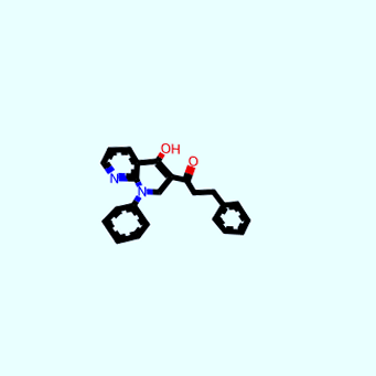 O=C(CCc1ccccc1)C1=C(O)c2cccnc2N(c2ccccc2)C1